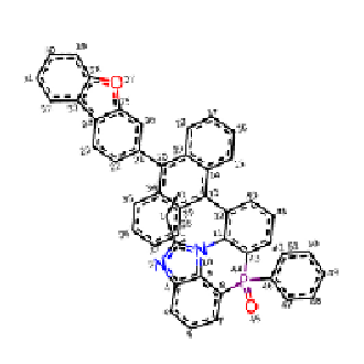 CCc1nc2cccc3c2n1-c1c(-c2c4ccccc4c(-c4ccc5c(c4)oc4ccccc45)c4ccccc24)cccc1P3(=O)c1ccccc1